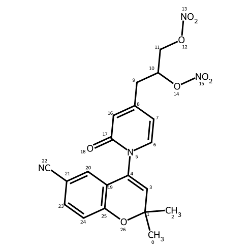 CC1(C)C=C(n2ccc(CC(CO[N+](=O)[O-])O[N+](=O)[O-])cc2=O)c2cc(C#N)ccc2O1